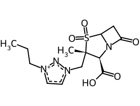 CCC[n+]1ccn(C[C@@]2(C)[C@H](C(=O)O)N3C(=O)CC3S2(=O)=O)n1